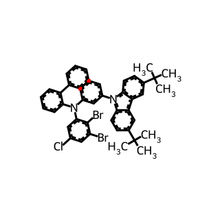 CC(C)(C)c1ccc2c(c1)c1cc(C(C)(C)C)ccc1n2-c1cccc(N(c2ccccc2-c2ccccc2)c2cc(Cl)cc(Br)c2Br)c1